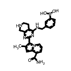 Cc1cc2c(C(N)=O)cccn2c1-c1nc2c(c(NCc3cccc(B(O)O)c3)n1)CCNC2